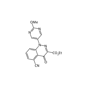 CCOC(=O)c1nn(-c2cnc(OC)nc2)c2cccc(C#N)c2c1=O